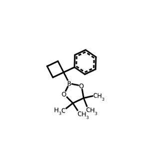 CC1(C)OB(C2(c3ccccc3)CCC2)OC1(C)C